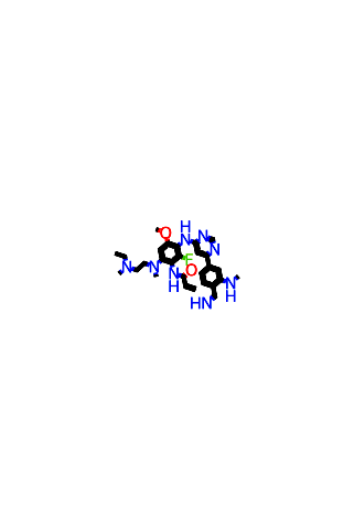 C=CC(=O)Nc1c(N(C)CCN(C)CC)cc(OC)c(Nc2cc(-c3ccc(C=N)c(NC)c3)ncn2)c1F